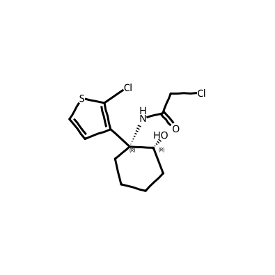 O=C(CCl)N[C@@]1(c2ccsc2Cl)CCCC[C@H]1O